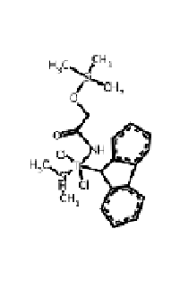 C[SiH](C)[Ti]([Cl])([Cl])([NH]C(=O)CO[Si](C)(C)C)[CH]1c2ccccc2-c2ccccc21